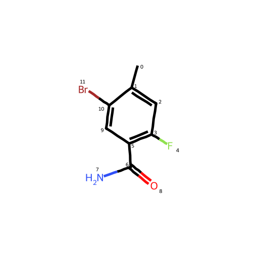 Cc1cc(F)c(C(N)=O)cc1Br